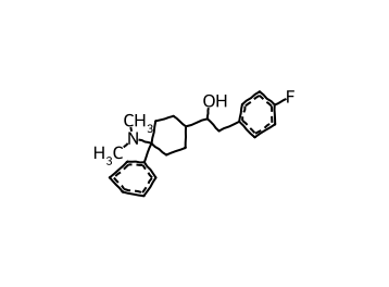 CN(C)C1(c2ccccc2)CCC(C(O)Cc2ccc(F)cc2)CC1